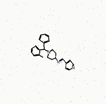 Cc1ccccc1C(c1ccccc1)N1CCC(/N=C/c2ccncc2)CC1